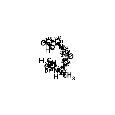 CN1C[C@H](Nc2cnn(C)c(=O)c2Br)C[C@H](c2ccc(C(=O)N3CCC4(CC3)CN(c3cccc(C5CCC(=O)NC5=O)c3)C4)cc2)C1